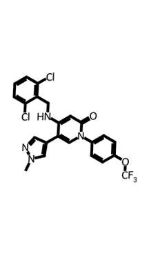 Cn1cc(-c2cn(-c3ccc(OC(F)(F)F)cc3)c(=O)cc2NCc2c(Cl)cccc2Cl)cn1